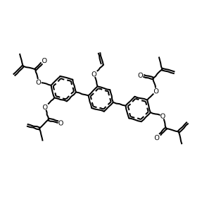 C=COc1cc(-c2ccc(OC(=O)C(=C)C)c(OC(=O)C(=C)C)c2)ccc1-c1ccc(OC(=O)C(=C)C)c(OC(=O)C(=C)C)c1